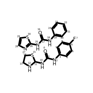 O=C(Nc1ccc(F)cc1)NC1NCCS1.O=C(Nc1ccccc1)Nc1nccs1